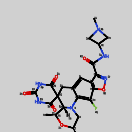 C[C@@H]1CN2c3c(cc4c(C(=O)NC5CN(C)C5)noc4c3F)CC3(C(=O)NC(=O)NC3=O)[C@H]2[C@H](C)O1